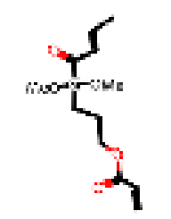 C=CC(=O)OCCC[Si](OC)(OC)C(=O)C=CC